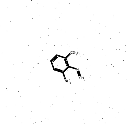 C=Nc1c(N)cccc1C(=O)O